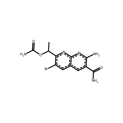 CC(OC(N)=O)c1nc2nc(N)c(C(N)=O)cc2cc1Br